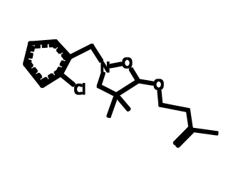 C=C(C)CCOC1ON(Cc2ccccc2Cl)CC1(C)C